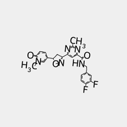 Cc1nc(C(=O)NCc2ccc(F)c(F)c2)cc(C2=NOC(c3ccc(=O)n(C)c3)C2)n1